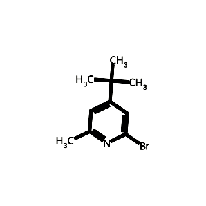 Cc1cc(C(C)(C)C)cc(Br)n1